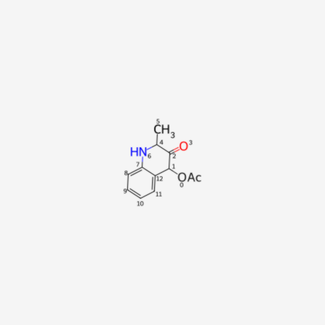 CC(=O)OC1C(=O)C(C)Nc2ccccc21